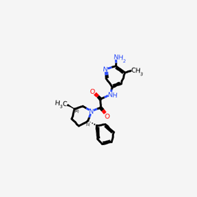 Cc1cc(NC(=O)C(=O)N2C[C@H](C)CC[C@H]2c2ccccc2)cnc1N